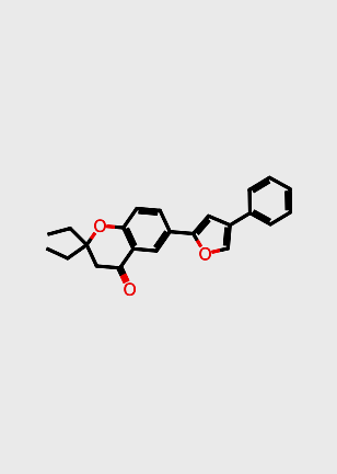 CCC1(CC)CC(=O)c2cc(-c3cc(-c4ccccc4)co3)ccc2O1